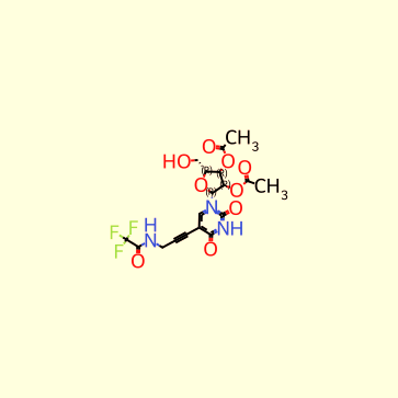 CC(=O)O[C@@H]1[C@H](OC(C)=O)[C@@H](CO)O[C@H]1n1cc(C#CCNC(=O)C(F)(F)F)c(=O)[nH]c1=O